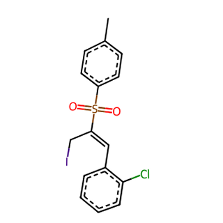 Cc1ccc(S(=O)(=O)C(=Cc2ccccc2Cl)CI)cc1